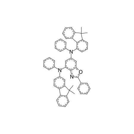 CC1(C)c2ccccc2-c2ccc(N(c3ccccc3)c3cc(N(c4ccccc4)c4cccc5c4-c4ccccc4C5(C)C)cc4oc(-c5ccccc5)nc34)cc21